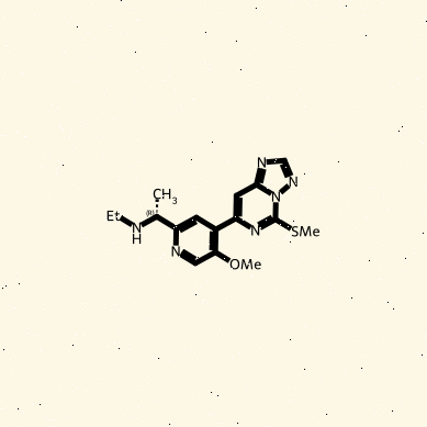 CCN[C@H](C)c1cc(-c2cc3ncnn3c(SC)n2)c(OC)cn1